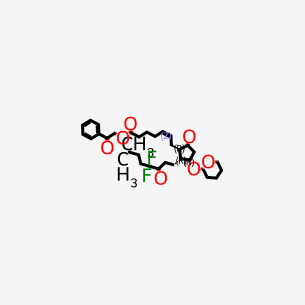 CC(C)CCC(F)(F)C(=O)CC[C@H]1[C@H](OC2CCCCO2)CC(=O)[C@@H]1C/C=C\CCCC(=O)OCC(=O)c1ccccc1